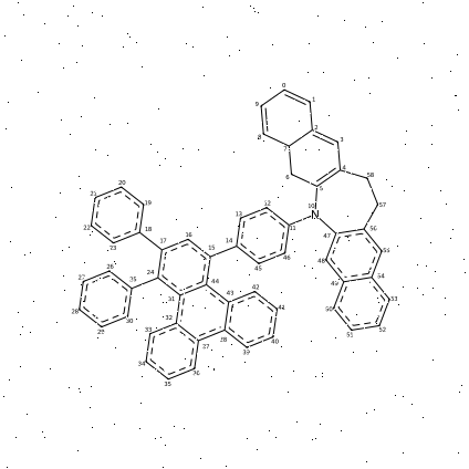 C1=CC2=CC3=C(CC2C=C1)N(c1ccc(-c2cc(-c4ccccc4)c(-c4ccccc4)c4c5ccccc5c5ccccc5c24)cc1)c1cc2ccccc2cc1CC3